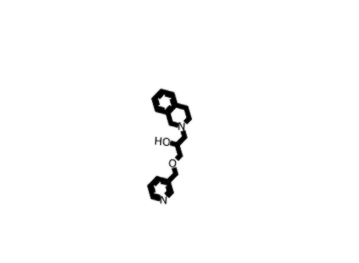 OC(COCc1cccnc1)CN1CCc2ccccc2C1